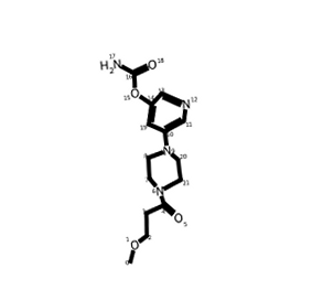 COCCC(=O)N1CCN(c2cncc(OC(N)=O)c2)CC1